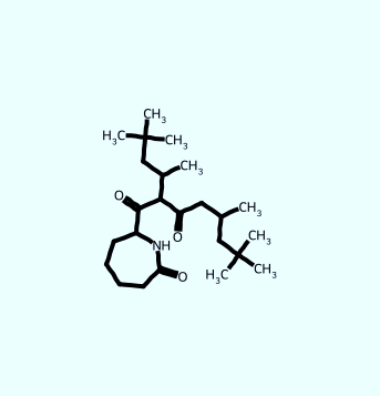 CC(CC(=O)C(C(=O)C1CCCCC(=O)N1)C(C)CC(C)(C)C)CC(C)(C)C